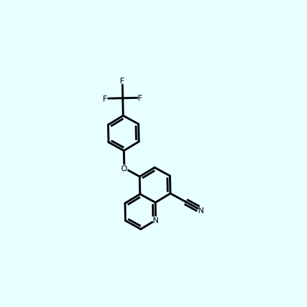 N#Cc1ccc(Oc2ccc(C(F)(F)F)cc2)c2cccnc12